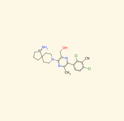 Cc1nc(N2CCC3(CCC[C@H]3N)CC2)c(CO)nc1-c1ccc(Cl)c(C#N)c1Cl